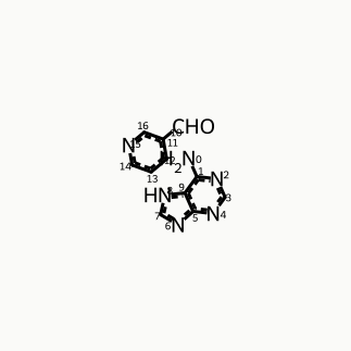 Nc1ncnc2nc[nH]c12.O=Cc1cccnc1